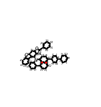 c1ccc(-c2ccc(-c3ccc(N(c4ccccc4-c4ccccc4)c4c5nc(-c6ccccc6)oc5cc5oc6ccccc6c45)cc3)cc2)cc1